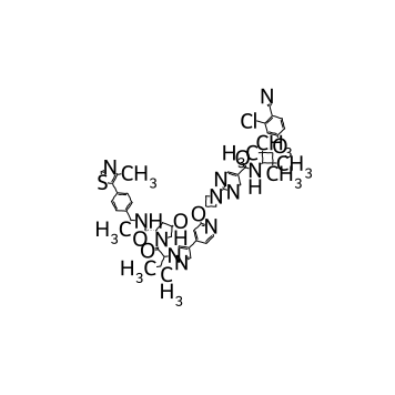 Cc1ncsc1-c1ccc(C(C)NC(=O)[C@@H]2C[C@@H](O)CN2C(=O)C(C(C)C)n2cc(-c3ccnc(OC4CN(c5ncc(C(=O)NC6C(C)(C)C(Oc7ccc(C#N)c(Cl)c7)C6(C)C)cn5)C4)c3)cn2)cc1